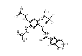 O=C(O)C(F)(F)F.O=C(O)COc1ccc(CCNC(=O)c2cc3c(s2)CCNC3)cc1OCC(=O)O